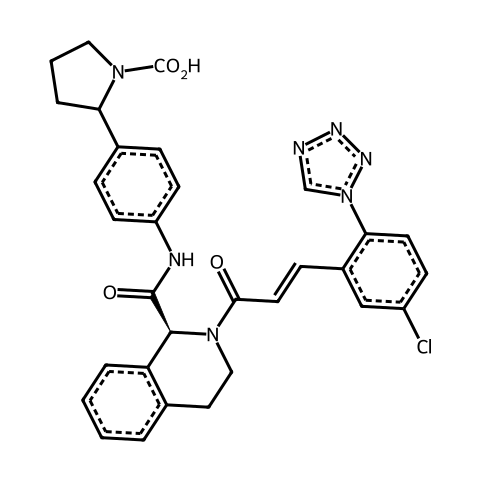 O=C(Nc1ccc(C2CCCN2C(=O)O)cc1)[C@@H]1c2ccccc2CCN1C(=O)/C=C/c1cc(Cl)ccc1-n1cnnn1